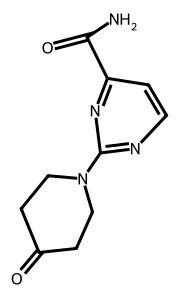 NC(=O)c1ccnc(N2CCC(=O)CC2)n1